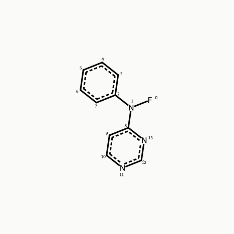 FN(c1ccccc1)c1ccn[c]n1